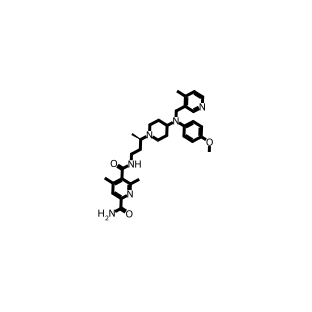 COc1ccc(N(Cc2cnccc2C)C2CCN([C@H](C)CCNC(=O)c3c(C)cc(C(N)=O)nc3C)CC2)cc1